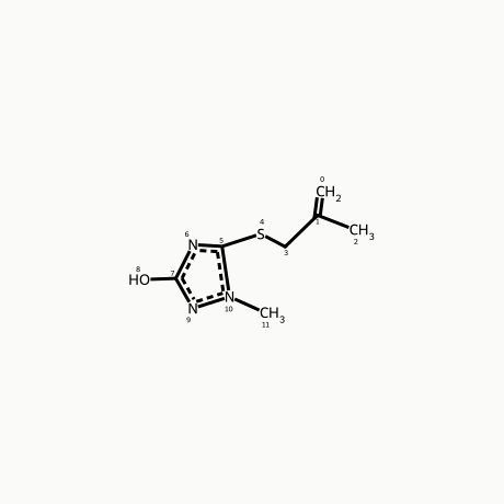 C=C(C)CSc1nc(O)nn1C